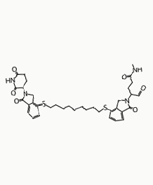 CNC(=O)CCC(C=O)N1Cc2c(SCCCCCCCCCSc3cccc4c3CN(C3CCC(=O)NC3=O)C4=O)cccc2C1=O